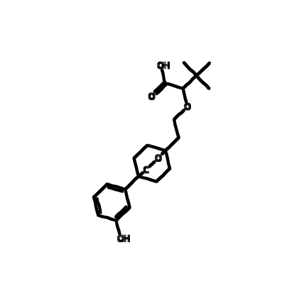 CC(C)(C)C(OCCC12CCC(c3cccc(O)c3)(CC1)CO2)C(=O)O